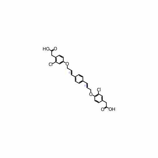 O=C(O)Cc1ccc(OC/C=C/c2ccc(/C=C/COc3ccc(CC(=O)O)c(Cl)c3)cc2)c(Cl)c1